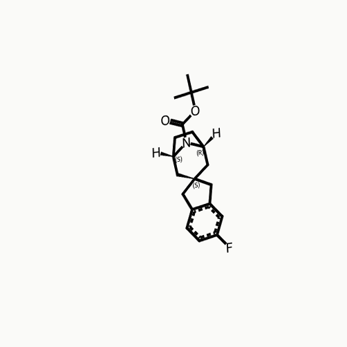 CC(C)(C)OC(=O)N1[C@@H]2CC[C@H]1C[C@@]1(Cc3ccc(F)cc3C1)C2